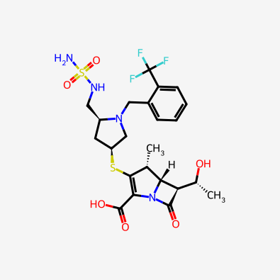 C[C@@H](O)[C@H]1C(=O)N2C(C(=O)O)=C(S[C@H]3C[C@@H](CNS(N)(=O)=O)N(Cc4ccccc4C(F)(F)F)C3)[C@H](C)[C@H]12